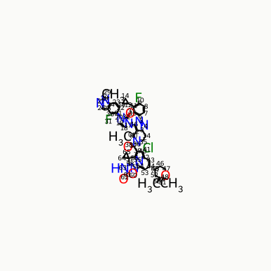 C[C@H]1c2c(nn(-c3ccc(F)c(C4CC4)c3)c2-n2ccn(-c3ccc4c(cnn4C)c3F)c2=O)CCN1C(=O)c1c(Cl)c2cc([C@@H]3CCOC(C)(C)C3)ccn2c1C1(c2noc(=O)[nH]2)CC1